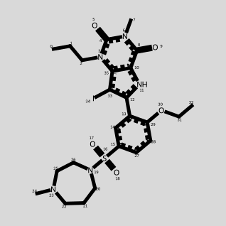 CCCn1c(=O)n(C)c(=O)c2[nH]c(-c3cc(S(=O)(=O)N4CCCN(C)CC4)ccc3OCC)c(I)c21